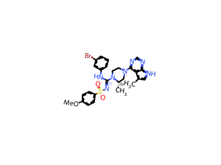 COc1ccc(S(=O)(=O)/N=C(\Nc2cccc(Br)c2)N2CCN(c3ncnc4[nH]cc(C)c34)C[C@@H]2C)cc1